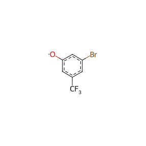 [O]c1cc(Br)cc(C(F)(F)F)c1